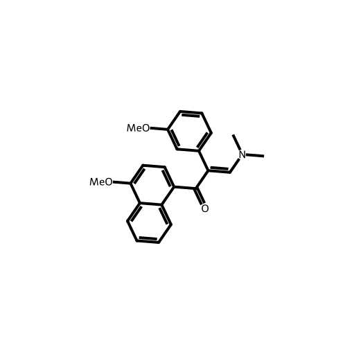 COc1cccc(/C(=C\N(C)C)C(=O)c2ccc(OC)c3ccccc23)c1